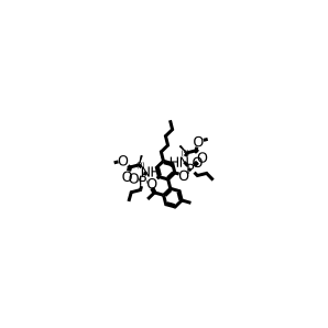 C=C(C)c1ccc(C)cc1-c1c(OP(=O)(CCC)N[C@@H](C)C(=O)OC)cc(CCCCC)cc1OP(=O)(CCC)N[C@H](C)C(=O)OC